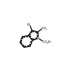 CCOC(=O)n1c(C)c(CC)c2ccccc21